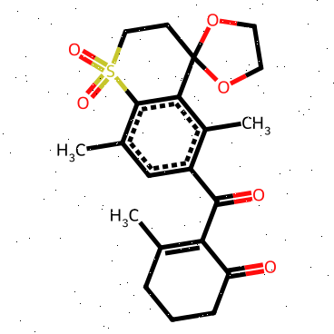 CC1=C(C(=O)c2cc(C)c3c(c2C)C2(CCS3(=O)=O)OCCO2)C(=O)CCC1